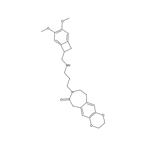 COc1cc2c(cc1OC)C(CNCCCN1CCc3cc4c(cc3CC1=O)OCCO4)C2